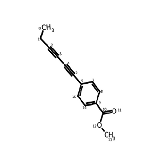 CCC#CC#Cc1ccc(C(=O)OC)cc1